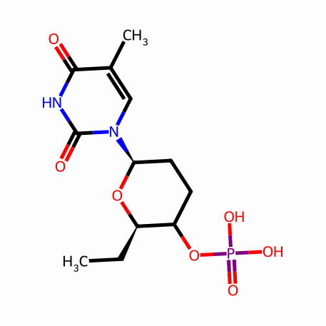 CC[C@H]1O[C@@H](n2cc(C)c(=O)[nH]c2=O)CCC1OP(=O)(O)O